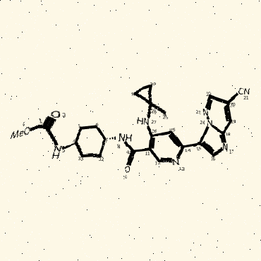 COC(=O)N[C@H]1CC[C@H](NC(=O)c2cnc(-c3cnc4cc(C#N)cnn34)cc2NC2(C)CC2)CC1